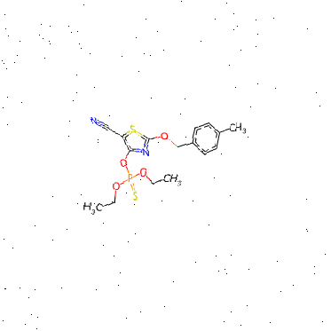 CCOP(=S)(OCC)Oc1nc(OCc2ccc(C)cc2)sc1C#N